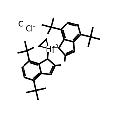 CC1=Cc2c(C(C)(C)C)ccc(C(C)(C)C)c2[CH]1[Hf+2]1([CH]2C(C)=Cc3c(C(C)(C)C)ccc(C(C)(C)C)c32)[CH2][CH2]1.[Cl-].[Cl-]